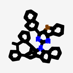 Cc1c2cc3c4ccc5ccccc5c4n(-c4nc(-c5ccc6ccccc6c5)c5sc6ccccc6c5n4)c3c1-c1ccccc1C(C)c1ccccc1-2